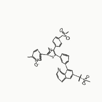 Cc1ccc(-c2nc(-c3ccc(S(C)(=O)=O)cc3)c(-c3cccc(-c4cc(C(C)(C)S(C)(=O)=O)cc5cccnc45)c3)s2)c[n+]1[O-]